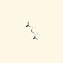 CC(=O)NCNC(C)=S